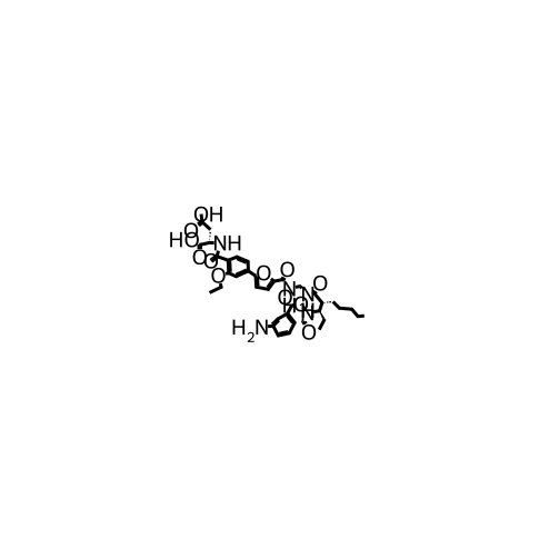 CCCCC[C@@H](C(=O)NCNC(=O)c1ccc(-c2ccc(C(=O)N[C@@H](CC(=O)O)C(=O)O)c(OCC)c2)o1)[C@@H](CC)N(C=O)OC(=O)c1cccc(N)c1